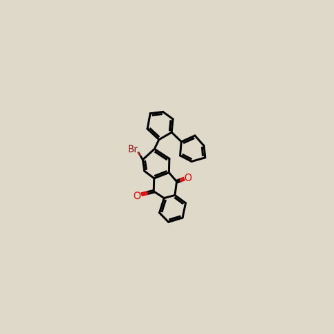 O=C1c2ccccc2C(=O)c2cc(-c3ccccc3-c3ccccc3)c(Br)cc21